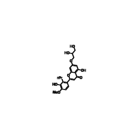 CCCc1c(-c2cc(=O)c3c(O)cc(OCC(O)CO)cc3o2)ccc(OC)c1O